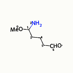 COC(N)CCC[C]=O